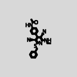 CCNc1nc(SCc2ccccc2)c(C#N)c(-c2ccc(NC(C)=O)cc2)c1C#N